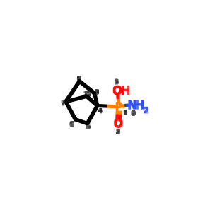 NP(=O)(O)C12CCC(CC1)C2